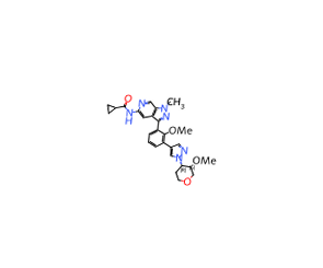 COc1c(-c2cnn([C@@H]3CCOC[C@H]3OC)c2)cccc1-c1nn(C)c2cnc(NC(=O)C3CC3)cc12